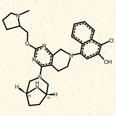 CN1CCCC1COc1nc2c(c(N3C[C@H]4CC[C@@H](C3)N4)n1)CCN(c1cc(O)c(Cl)c3ccccc13)C2